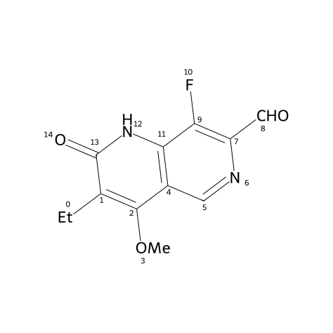 CCc1c(OC)c2cnc(C=O)c(F)c2[nH]c1=O